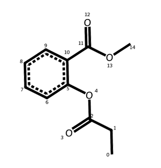 CCC(=O)Oc1ccccc1C(=O)OC